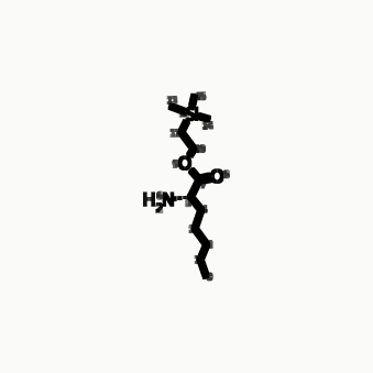 CCCCC[C@H](N)C(=O)OCC[Si](C)(C)C